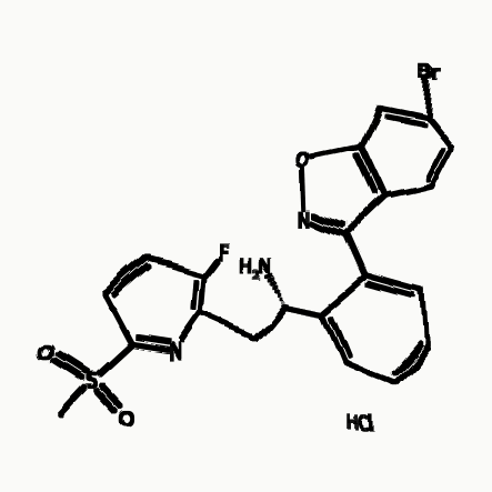 CS(=O)(=O)c1ccc(F)c(C[C@H](N)c2ccccc2-c2noc3cc(Br)ccc23)n1.Cl